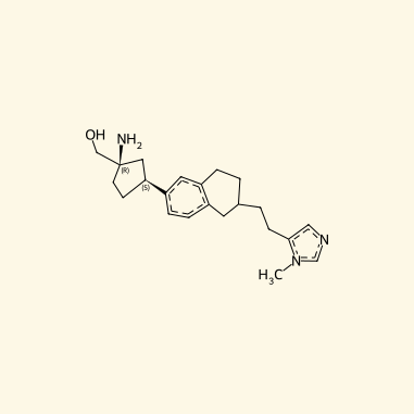 Cn1cncc1CCC1CCc2cc([C@H]3CC[C@](N)(CO)C3)ccc2C1